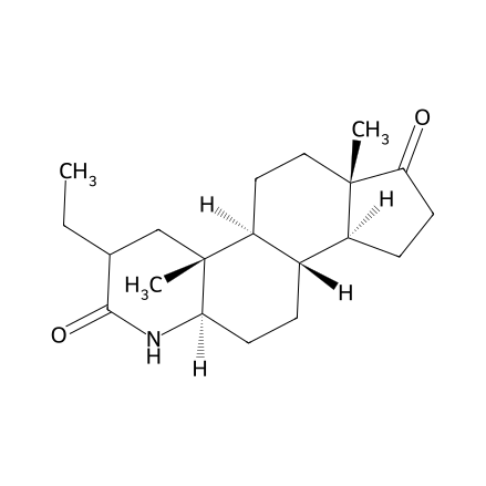 CCC1C[C@@]2(C)[C@@H](CC[C@@H]3[C@@H]2CC[C@]2(C)C(=O)CC[C@@H]32)NC1=O